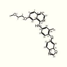 COCCOc1ccc2ncnc(Nc3ccc(OC4=CC5OC=NC5C=C4)c(C)c3)c2c1